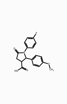 COc1ccc(C2C(C(=O)O)CC(=O)N2c2ccc(F)cc2)cc1